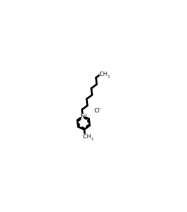 CCCCCCCC[n+]1ccc(C)cc1.[Cl-]